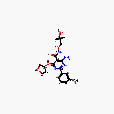 CC(C)(O)CONC(=O)c1c(N)nc(-c2cccc(C#N)c2)nc1O[C@H]1CCOC1